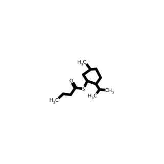 CCCC(=O)SC1CC(C)CCC1C(C)C